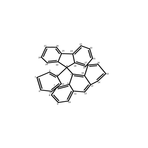 c1ccc(C2(c3c4ccccc4cc4ccccc34)c3ccccc3-c3ccccc32)cc1